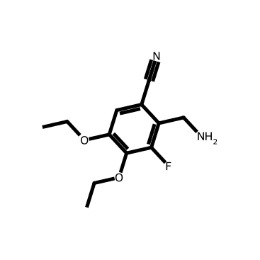 CCOc1cc(C#N)c(CN)c(F)c1OCC